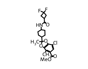 COC(=O)c1cc(Cl)c2c(c1C)OC(C)(C1CCC(NC(=O)C3CC(F)(F)C3)CC1)O2